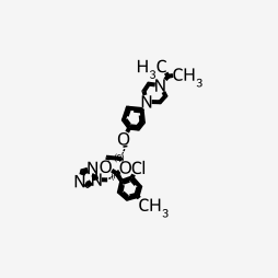 Cc1ccc([C@@]2(Cn3cncn3)OC[C@H](COc3ccc(N4CCN(C(C)C)CC4)cc3)O2)c(Cl)c1